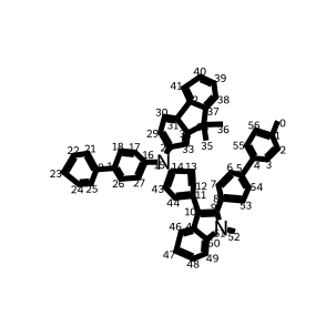 Cc1ccc(-c2ccc(-c3c(-c4ccc(N(c5ccc(-c6ccccc6)cc5)c5ccc6c(c5)C(C)(C)c5ccccc5-6)cc4)c4ccccc4n3C)cc2)cc1